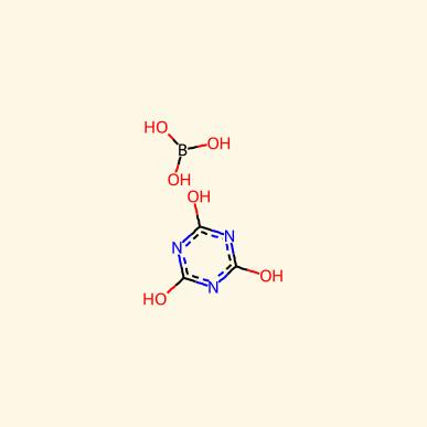 OB(O)O.Oc1nc(O)nc(O)n1